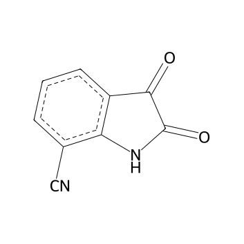 N#Cc1cccc2c1NC(=O)C2=O